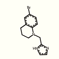 Brc1ccc2c(c1)CCCN2Cc1ncc[nH]1